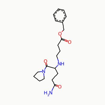 NC(=O)CCC(NCCCC(=O)OCc1ccccc1)C(=O)N1CCCC1